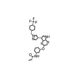 C=CC(=O)Nc1cccc(Oc2cnc3[nH]cc(-c4cnn(Cc5ccc(C(F)(F)F)cc5)c4)c3n2)c1